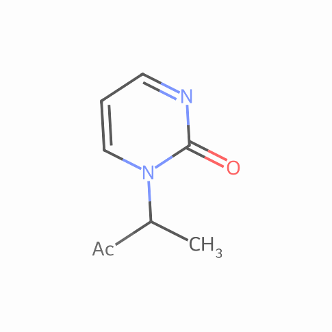 CC(=O)C(C)n1cccnc1=O